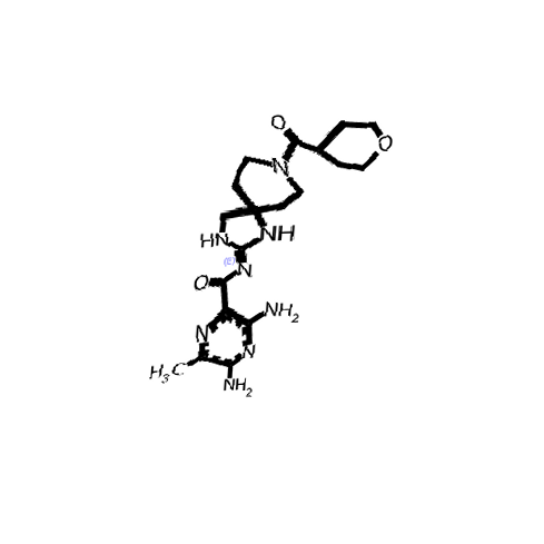 Cc1nc(C(=O)/N=C2\NCC3(CCN(C(=O)C4CCOCC4)CC3)N2)c(N)nc1N